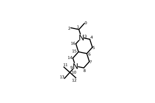 CC(C)N1CCC2CCN(C(C)(C)C)CC2C1